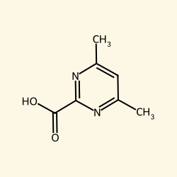 Cc1cc(C)nc(C(=O)O)n1